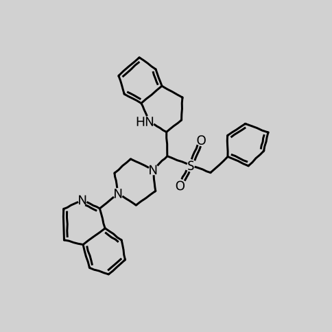 O=S(=O)(Cc1ccccc1)C(C1CCc2ccccc2N1)N1CCN(c2nccc3ccccc23)CC1